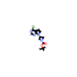 CC(C)(C)OC(=O)N1CC(n2ccc3c(Cl)ncnc32)C1